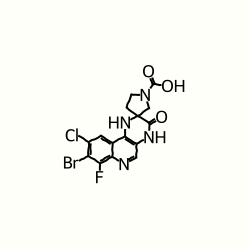 O=C(O)N1CCC2(C1)Nc1c(cnc3c(F)c(Br)c(Cl)cc13)NC2=O